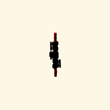 CCCCCCCCCCCCCCCC(=O)NCCOCCNC(=O)CCCOCCNC(=O)[C@H](CCC(=O)NCCOCCC(=O)NCCOCCNC(=O)CCCCCCCCCCCCCCC)NC(=O)OC(C)(C)C